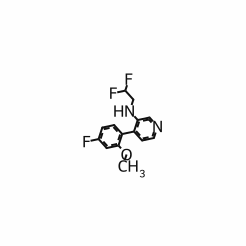 COc1cc(F)ccc1-c1ccncc1NCC(F)F